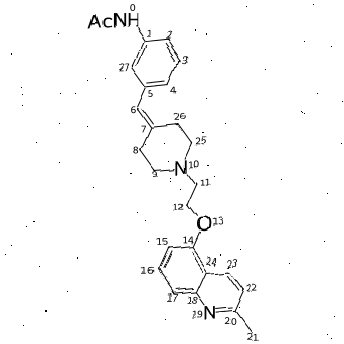 CC(=O)Nc1cccc(C=C2CCN(CCOc3cccc4nc(C)ccc34)CC2)c1